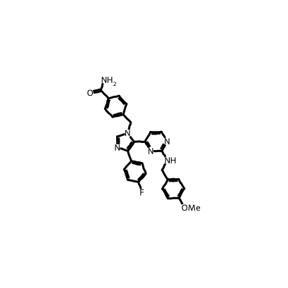 COc1ccc(CNc2nccc(-c3c(-c4ccc(F)cc4)ncn3Cc3ccc(C(N)=O)cc3)n2)cc1